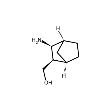 N[C@H]1[C@H]2CC[C@H](C2)[C@H]1CO